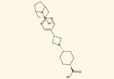 CC(C)C(=O)[C@H]1CC[C@H](N2CC(c3cnc(N4C5CCC4CN(C(C)C)C5)nc3)C2)CC1